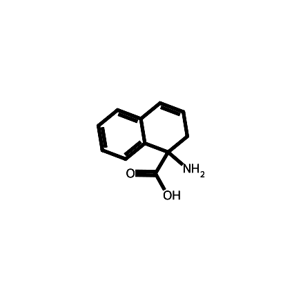 NC1(C(=O)O)CC=Cc2ccccc21